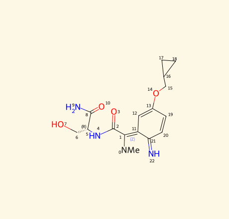 CN/C(C(=O)N[C@H](CO)C(N)=O)=C1/C=C(OCC2CC2)C=CC1=N